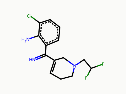 N=C(C1=CCCN(CC(F)F)C1)c1cccc(Cl)c1N